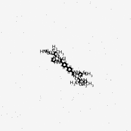 COC(=O)N[C@H](C(=O)N1C[C@@H](SC)C[C@H]1c1ncc(-c2ccc(-c3ccc(-c4[nH]c([C@@H]5CCCN5C(=O)[C@@H](COOC=N)C(C)C)nc4Cl)cc3)cc2)[nH]1)C(C)C